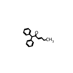 CCC=CC(=O)C(c1ccccc1)c1ccccc1